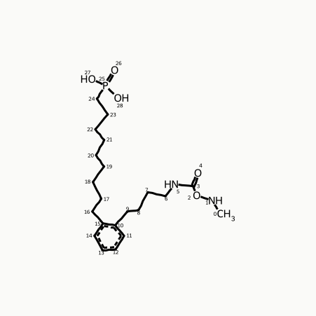 CNOC(=O)NCCCCc1ccccc1CCCCCCCCCP(=O)(O)O